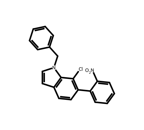 O=[N+]([O-])c1ccccc1-c1ccc2ccn(Cc3ccccc3)c2c1Cl